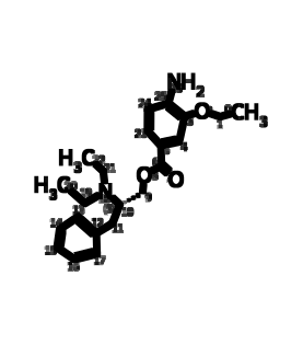 CCOc1cc(C(=O)OC[C@H](Cc2ccccc2)N(CC)CC)ccc1N